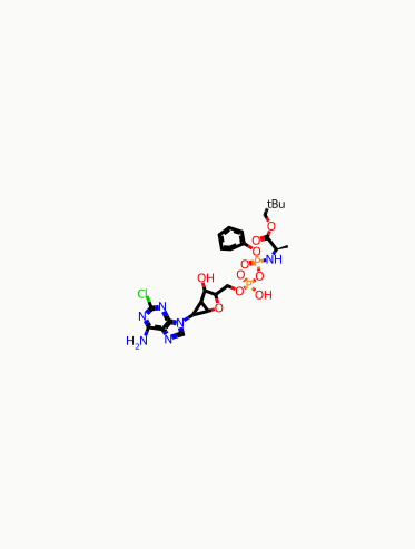 C[C@@H](NP(=O)(Oc1ccccc1)OP(=O)(O)OCC1OC2C(C1O)C2n1cnc2c(N)nc(Cl)nc21)C(=O)OCC(C)(C)C